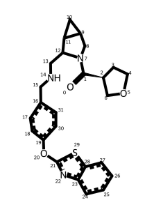 O=C([C@H]1CCOC1)N1CC2CC2C1CNCc1ccc(Oc2nc3ccccc3s2)cc1